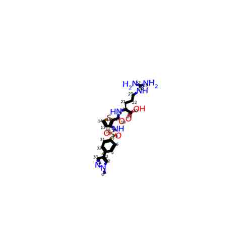 Cn1cc(-c2ccc(S(=O)(=O)Nc3ccsc3C(=O)N[C@@H](CCCNC(N)N)C(=O)O)cc2)cn1